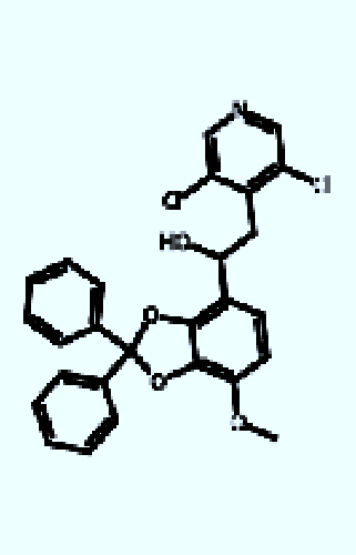 COc1ccc(C(O)Cc2c(Cl)cncc2Cl)c2c1OC(c1ccccc1)(c1ccccc1)O2